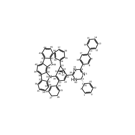 C1=CC[C@H](C2N=C(c3ccc(-c4ccccc4)cc3)N=C(C3=CC(C4=CCCC=C4)=C(n4c5ccccc5c5ccc6c7ccccc7sc6c54)[C@H]4C3C4c3ccccc3)N2)C=C1